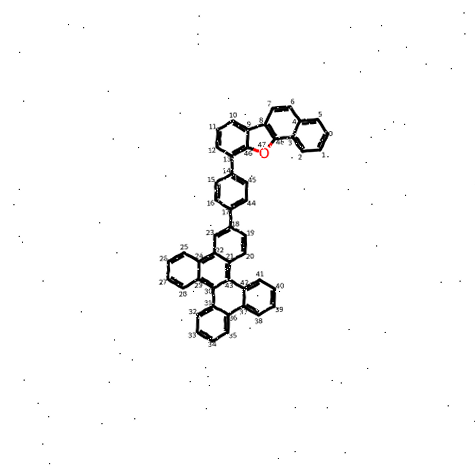 c1ccc2c(c1)ccc1c3cccc(-c4ccc(-c5ccc6c(c5)c5ccccc5c5c7ccccc7c7ccccc7c65)cc4)c3oc21